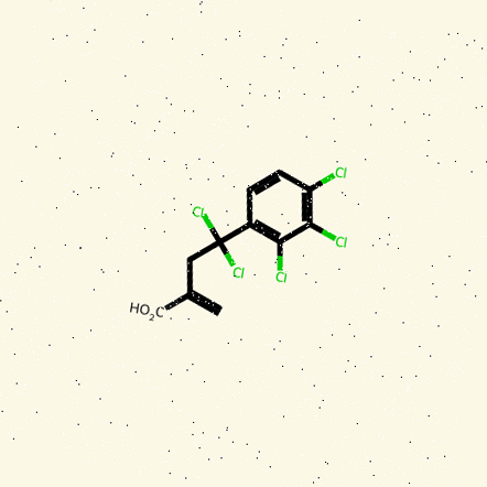 C=C(CC(Cl)(Cl)c1ccc(Cl)c(Cl)c1Cl)C(=O)O